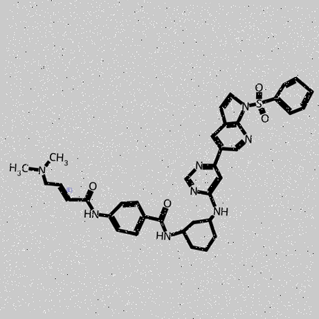 CN(C)C/C=C/C(=O)Nc1ccc(C(=O)NC2CCCC(Nc3cc(-c4cnc5c(ccn5S(=O)(=O)c5ccccc5)c4)ncn3)C2)cc1